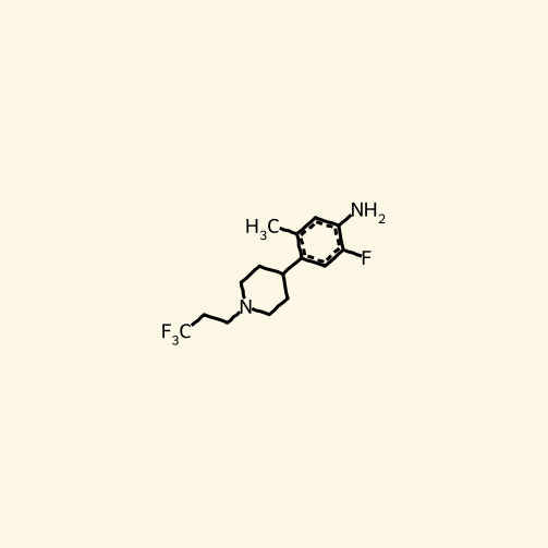 Cc1cc(N)c(F)cc1C1CCN(CCC(F)(F)F)CC1